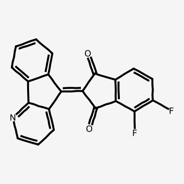 O=C1/C(=C2\c3ccccc3-c3ncccc32)C(=O)c2c1ccc(F)c2F